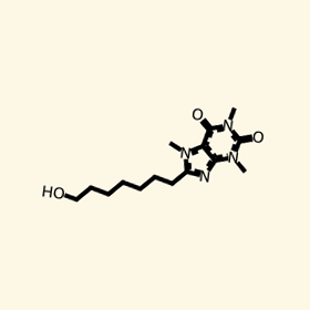 Cn1c(=O)c2c(nc(CCCCCCCO)n2C)n(C)c1=O